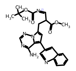 COC(=O)C(/C=N\C(=O)OC(C)(C)C)Cc1cc(-c2cnc3ccccc3c2)c2c(N)ncnn12